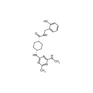 CNc1nc(C)nc(N[C@H]2CC[C@@H](C(=O)NCc3ccccc3S)CC2)n1